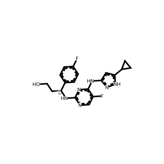 OCC[C@H](Nc1ncc(F)c(Nc2cc(C3CC3)[nH]n2)n1)c1ccc(F)cc1